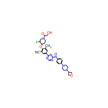 Cc1cc(-c2ncnc(Nc3ccc(N4CCN(C5COC5)CC4)cc3)n2)cc(C#N)c1O[C@H]1CCN(C(=O)CO)C[C@@H]1F